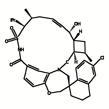 CC(C)[C@H]1[C@@H](C)C/C=C/[C@H](O)[C@@H]2C[C@@H](C)[C@H]2CN2C[C@@]3(CCCc4cc(Cl)ccc43)COc3ccc(cc32)C(=O)NS1(=O)=O